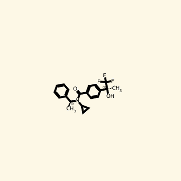 C[C@@H](c1ccccc1)N(C(=O)c1ccc([C@](C)(O)C(F)(F)F)cc1)C1CC1